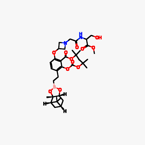 COC(=O)C(CO)NC(=O)CN1CC(Oc2ccc(CCB3O[C@@H]4C[C@@H]5C[C@@H](C5(C)C)[C@]4(C)O3)c(OC(=O)OC(C)(C)C)c2C(=O)OC(C)(C)C)C1